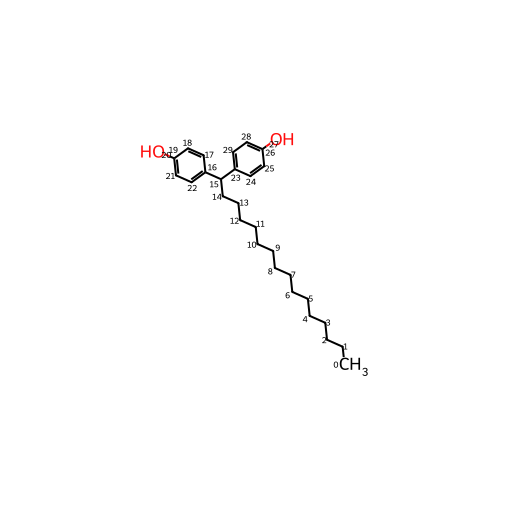 CCCCCCCCCCCCCCCC(c1ccc(O)cc1)c1ccc(O)cc1